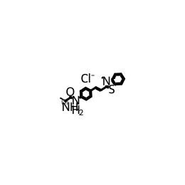 C[C@H](N)C(=O)Nc1ccc(C=Cc2sc3ccccc3[n+]2C)cc1.[Cl-]